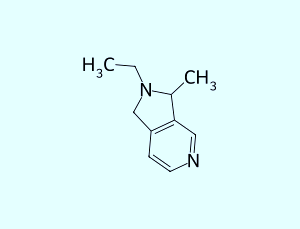 CCN1Cc2ccncc2C1C